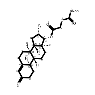 CCCCCCCCCC(=O)OCC(=O)O[C@H]1[C@@H](CC)C[C@H]2[C@@H]3CCC4=CC(=O)CC[C@@H]4[C@H]3CC[C@@]21C